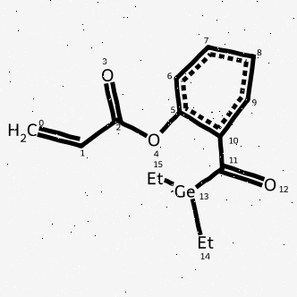 C=CC(=O)Oc1ccccc1[C](=O)[Ge]([CH2]C)[CH2]C